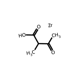 CC(=O)C(C)C(=O)O.[Zr]